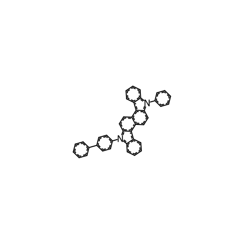 c1ccc(-c2ccc(-n3c4ccccc4c4c5ccc6c(c5ccc43)c3ccccc3n6-c3ccccc3)cc2)cc1